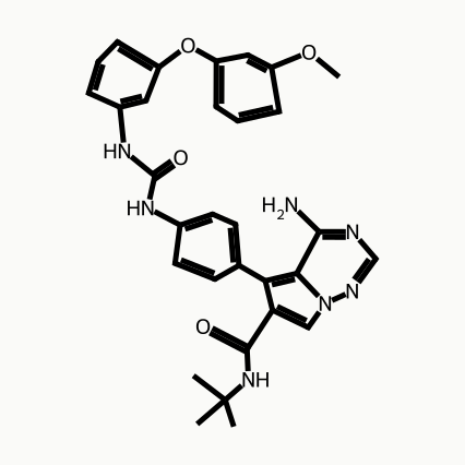 COc1cccc(Oc2cccc(NC(=O)Nc3ccc(-c4c(C(=O)NC(C)(C)C)cn5ncnc(N)c45)cc3)c2)c1